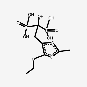 CCOc1oc(C)nc1CC(O)(P(=O)(O)O)P(=O)(O)O